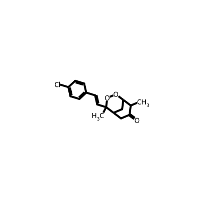 CC1C(=O)CC2CC1OOC2(C)C=Cc1ccc(Cl)cc1